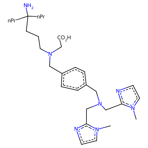 CCCC(N)(CCC)CCCN(CC(=O)O)Cc1ccc(CN(Cc2nccn2C)Cc2nccn2C)cc1